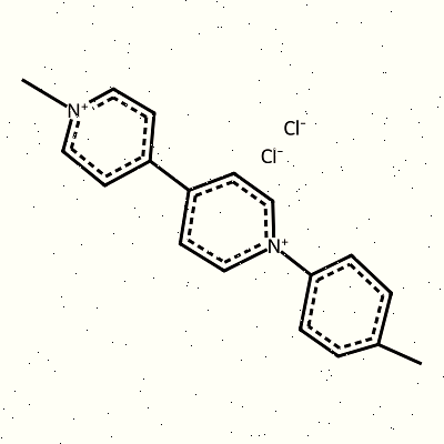 Cc1ccc(-[n+]2ccc(-c3cc[n+](C)cc3)cc2)cc1.[Cl-].[Cl-]